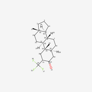 C[C@@]12CCC[C@H]1[C@@H]1CC[C@H]3CC(=O)C(C(F)(F)F)C[C@]3(C)[C@H]1CC2